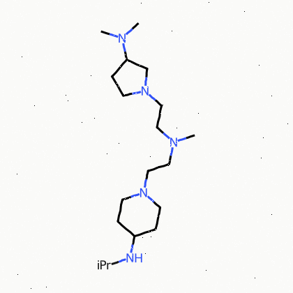 CC(C)NC1CCN(CCN(C)CCN2CCC(N(C)C)C2)CC1